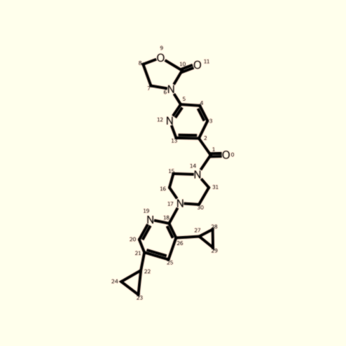 O=C(c1ccc(N2CCOC2=O)nc1)N1CCN(c2ncc(C3CC3)cc2C2CC2)CC1